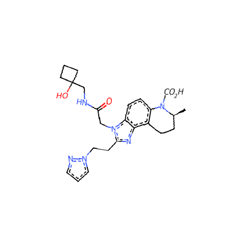 C[C@H]1CCc2c(ccc3c2nc(CCn2cccn2)n3CC(=O)NCC2(O)CCC2)N1C(=O)O